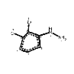 NNc1ccnc(Cl)c1Cl